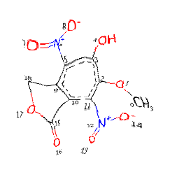 COc1c(O)c([N+](=O)[O-])c2c(c1[N+](=O)[O-])C(=O)OC2